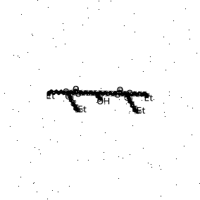 CC/C=C\CCCCCOC(CCC(=O)OCCCCCCCN(CCO)CCCCCCCOC(=O)CCC(OCCCCC/C=C\CC)OCCCCC/C=C\CC)OCCCCC/C=C\CC